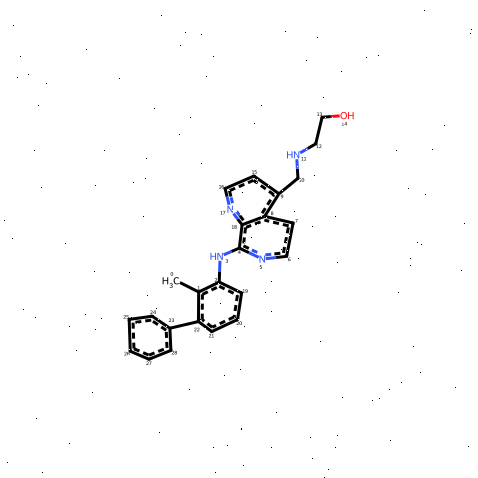 Cc1c(Nc2nccc3c(CNCCO)ccnc23)cccc1-c1ccccc1